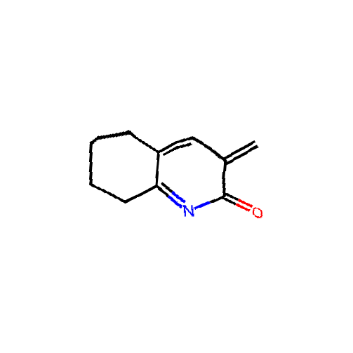 C=C1C=C2CCCCC2=NC1=O